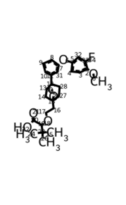 COc1ccc(Oc2cccc(C34CCC(CCOC(C(=O)O)C(C)(C)C)(CC3)OC4)c2)cc1F